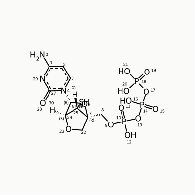 Nc1ccn([C@@H]2O[C@@]3(COP(=O)(O)OP(=O)(O)OP(=O)(O)O)CO[C@@H]2[C@@H]3S)c(=O)n1